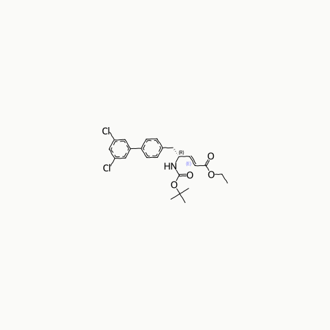 CCOC(=O)/C=C/[C@@H](Cc1ccc(-c2cc(Cl)cc(Cl)c2)cc1)NC(=O)OC(C)(C)C